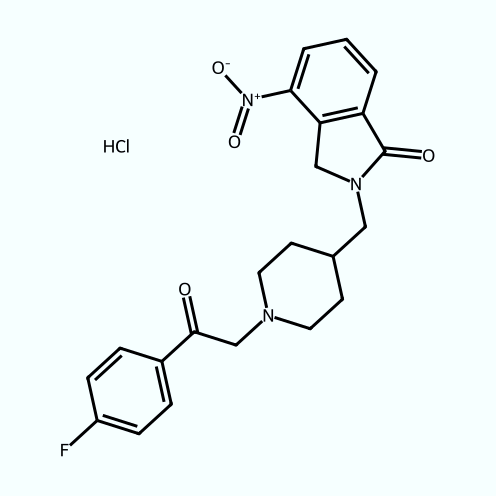 Cl.O=C(CN1CCC(CN2Cc3c(cccc3[N+](=O)[O-])C2=O)CC1)c1ccc(F)cc1